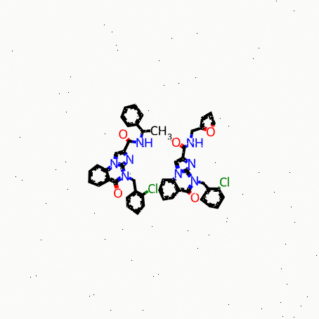 CC(NC(=O)c1cn2c3ccccc3c(=O)n(Cc3ccccc3Cl)c2n1)c1ccccc1.O=C(NCc1ccco1)c1cn2c3ccccc3c(=O)n(Cc3ccccc3Cl)c2n1